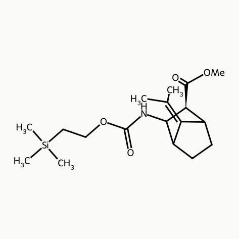 COC(=O)[C@H]1C2CCC(C2=C(C)C)C1NC(=O)OCC[Si](C)(C)C